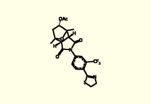 CC(=O)O[C@H]1CC2(C)OC1(C)[C@@H]1C(=O)N(c3ccc(C4=NCCS4)c(C(F)(F)F)c3)C(=O)[C@@H]12